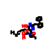 CCCCOc1c(O)nc(Cc2ccccc2-c2ccccc2)nc1C(=O)N(C)CCO